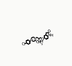 C[C@H]1CN(c2ccc(Cl)cc2)CCN1C[C@@H](O)COc1ccc2c(c1)CC(=O)N2